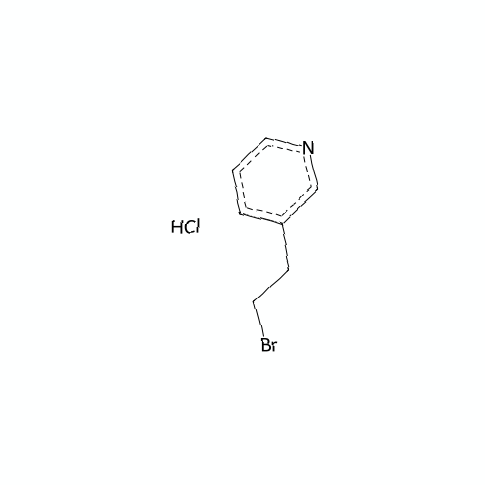 BrCCc1cccnc1.Cl